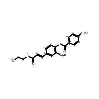 COc1ccc(C(=O)Oc2ccc(/C=C/C(=O)OCCC#N)cc2OC)cc1